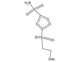 CC(=O)OCCS(=O)(=O)c1ccc(S(N)(=O)=O)s1